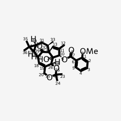 COc1ccccc1C(=O)O[C@H]1C(C)=C[C@]23C(=O)[C@@H](C=C4COC(C)(C)O[C@H]4[C@]12O)[C@H]1[C@@H](C[C@H]3C)C1(C)C